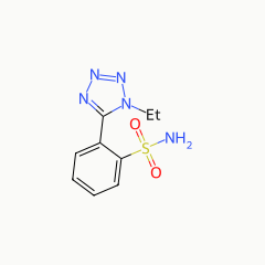 CCn1nnnc1-c1ccccc1S(N)(=O)=O